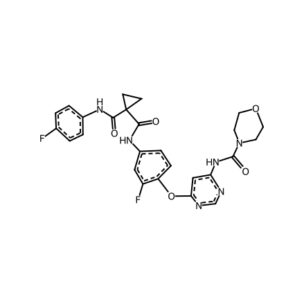 O=C(Nc1cc(Oc2ccc(NC(=O)C3(C(=O)Nc4ccc(F)cc4)CC3)cc2F)ncn1)N1CCOCC1